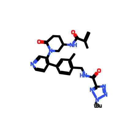 C=C(C)C(=O)NC1CCC(=O)N(c2cnccc2-c2ccc(CNC(=O)c3nnn(C(C)(C)C)n3)c(C)c2)C1